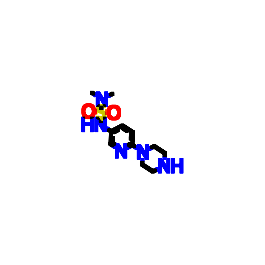 CN(C)S(=O)(=O)Nc1ccc(N2CCNCC2)nc1